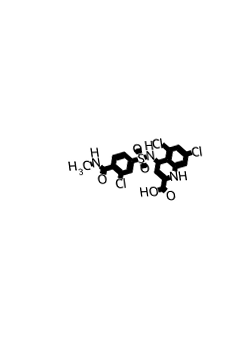 CNC(=O)c1ccc(S(=O)(=O)NC2C=C(C(=O)O)Nc3cc(Cl)cc(Cl)c32)cc1Cl